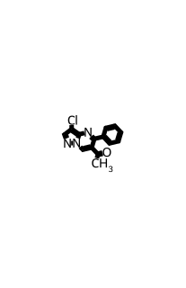 CC(=O)c1cn2ncc(Cl)c2nc1-c1ccccc1